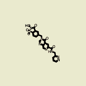 O=C(NCc1cccnn1)c1cc2c(=O)n(Cc3ccc4c(c3)C(=O)N(O)S4(=O)=O)cnc2cn1